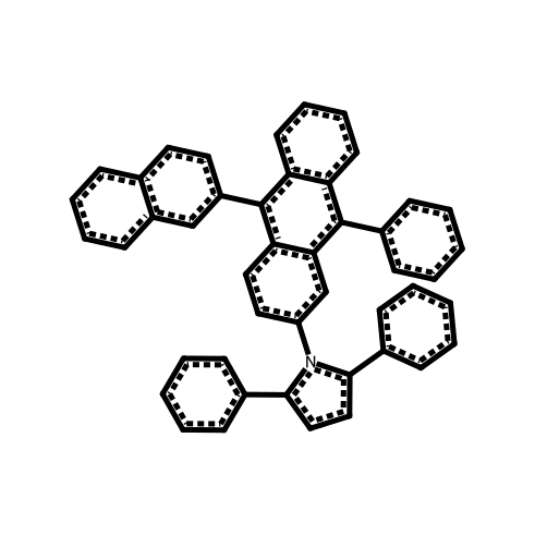 c1ccc(-c2c3ccccc3c(-c3ccc4ccccc4c3)c3ccc(-n4c(-c5ccccc5)ccc4-c4ccccc4)cc23)cc1